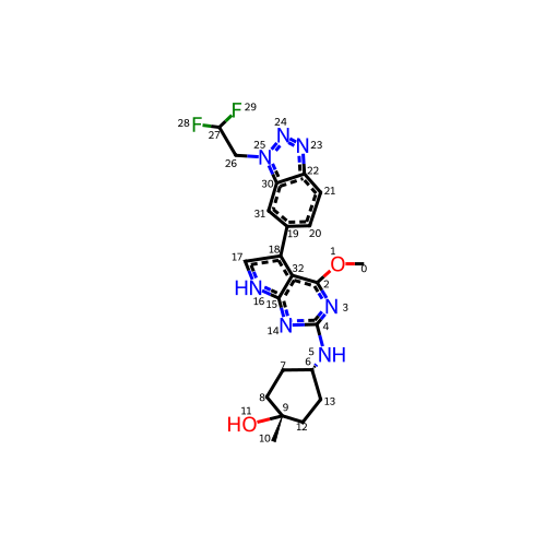 COc1nc(N[C@H]2CC[C@@](C)(O)CC2)nc2[nH]cc(-c3ccc4nnn(CC(F)F)c4c3)c12